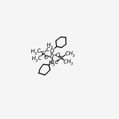 C[Si](C)(C)[O][Zr]([O]C1CCCCC1)([O]C1CCCCC1)[O][Si](C)(C)C